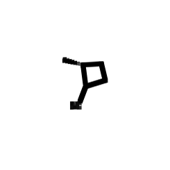 C[C@@H]1CCC1C#N